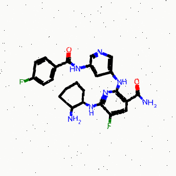 NC(=O)c1cc(F)c(NC2CCCCC2N)nc1Nc1cncc(NC(=O)c2ccc(F)cc2)c1